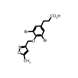 Cc1cc(COc2c(Br)cc(CCC(=O)O)cc2Br)no1